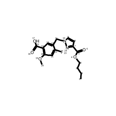 CCCCOC(=O)c1ccn(Cc2cc(C(=O)O)c(OC)cc2F)n1